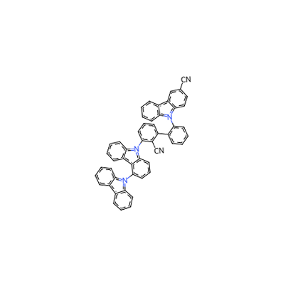 N#Cc1ccc2c(c1)c1ccccc1n2-c1ccccc1-c1cccc(-n2c3ccccc3c3c(-n4c5ccccc5c5ccccc54)cccc32)c1C#N